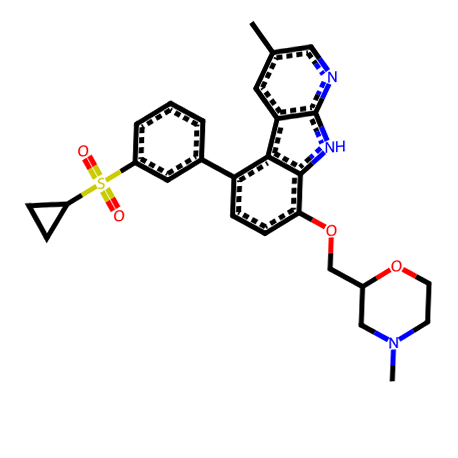 Cc1cnc2[nH]c3c(OCC4CN(C)CCO4)ccc(-c4cccc(S(=O)(=O)C5CC5)c4)c3c2c1